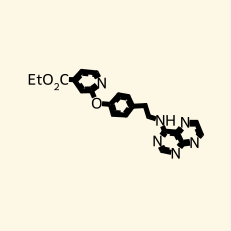 CCOC(=O)c1ccnc(Oc2ccc(CCNc3ncnc4nccnc34)cc2)c1